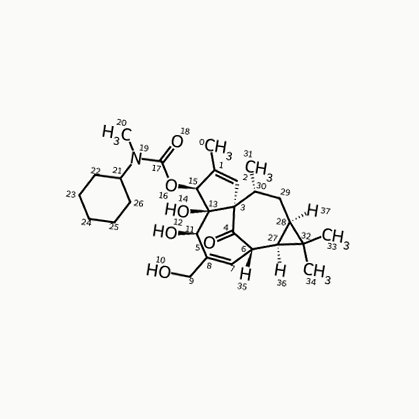 CC1=C[C@]23C(=O)[C@@H](C=C(CO)[C@@H](O)[C@]2(O)[C@H]1OC(=O)N(C)C1CCCCC1)[C@H]1[C@@H](C[C@H]3C)C1(C)C